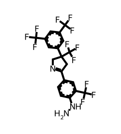 NNc1ccc(C2=NCC(c3cc(C(F)(F)F)cc(C(F)(F)F)c3)(C(F)(F)F)C2)cc1C(F)(F)F